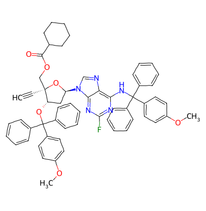 C#C[C@]1(COC(=O)C2CCCCC2)O[C@@H](n2cnc3c(NC(c4ccccc4)(c4ccccc4)c4ccc(OC)cc4)nc(F)nc32)C[C@@H]1OC(c1ccccc1)(c1ccccc1)c1ccc(OC)cc1